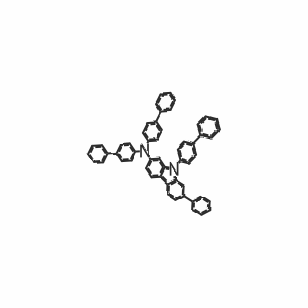 c1ccc(-c2ccc(N(c3ccc(-c4ccccc4)cc3)c3ccc4c5ccc(-c6ccccc6)cc5n(-c5ccc(-c6ccccc6)cc5)c4c3)cc2)cc1